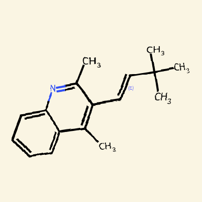 Cc1nc2ccccc2c(C)c1/C=C/C(C)(C)C